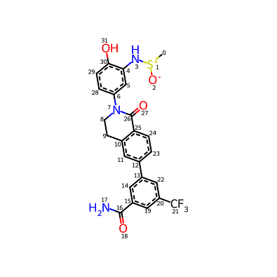 C[S+]([O-])Nc1cc(N2CCc3cc(-c4cc(C(N)=O)cc(C(F)(F)F)c4)ccc3C2=O)ccc1O